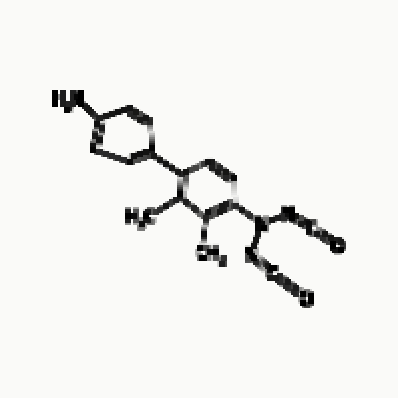 Cc1c(-c2ccc(N)cc2)ccc(N(N=C=O)N=C=O)c1C